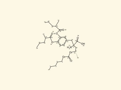 CCCCCOC(=O)O[C@@H](C)CC(N)(Cc1ccc(OC(=O)C(C)CCC)c(OC(=O)C(C)CCC)c1)C(=O)O